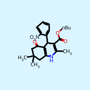 CCCCOC(=O)C1=C(C)NC2=C(C(=O)CC(C)(C)C2)C1c1ccccc1[N+](=O)[O-]